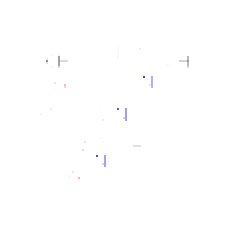 CCOC(=O)CCc1c(C=O)[nH]c(C)c1C(=O)NCCN(CC)CC